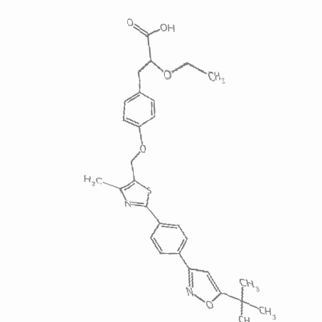 CCOC(Cc1ccc(OCc2sc(-c3ccc(-c4cc(C(C)(C)C)on4)cc3)nc2C)cc1)C(=O)O